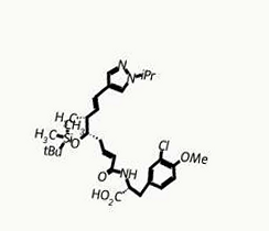 COc1ccc(C[C@@H](NC(=O)/C=C/C[C@H](O[Si](C)(C)C(C)(C)C)[C@H](C)/C=C/c2cnn(C(C)C)c2)C(=O)O)cc1Cl